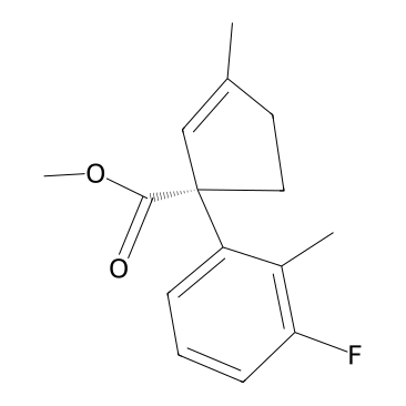 COC(=O)[C@]1(c2cccc(F)c2C)C=C(C)CC1